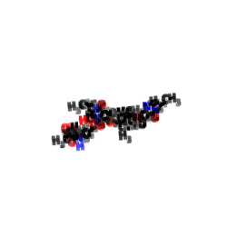 C/C=C1\C[C@H]2C=Nc3cc(OCC(C)(C)CCC(C)(C)CCOc4cc5c(cc4OC)C(=O)N4C/C(=C/C)C[C@H]4[C@H](O)N5C(=O)OCc4ccc(NBC(=O)C(C)(C)CO)cc4)c(OC)cc3C(=O)N2C1